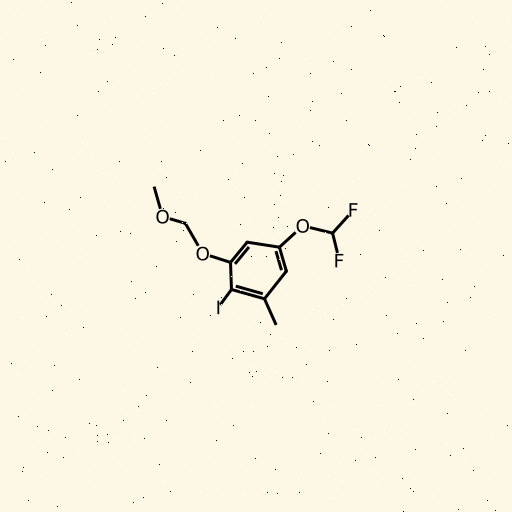 COCOc1cc(OC(F)F)cc(C)c1I